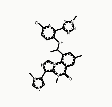 Cc1cc(C(C)Nc2ccc(Cl)nc2-c2nnn(C)n2)c2c(c1)c(=O)n(C)c1c(-c3cncn3C)ncn21